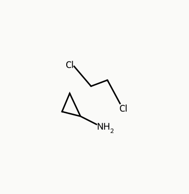 ClCCCl.NC1CC1